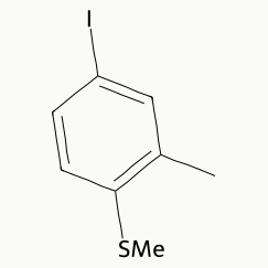 [CH2]Sc1ccc(I)cc1C